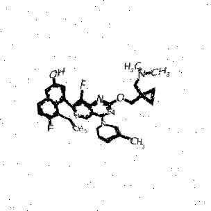 CCc1c(F)ccc2cc(O)cc(-c3ncc4c(N5CCCC(C)C5)nc(OCC5(CN(C)C)CC5)nc4c3F)c12